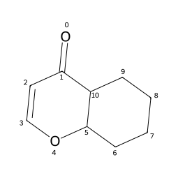 O=C1C=COC2CCCCC12